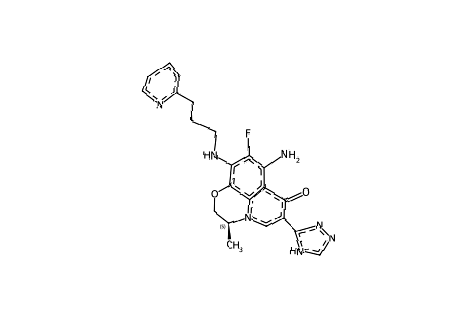 C[C@H]1COc2c(NCCCc3ccccn3)c(F)c(N)c3c(=O)c(-c4nnc[nH]4)cn1c23